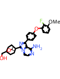 COc1cccc(Oc2ccc(-c3nc(C45CCC(CO)(CC4)OC5)n4ccnc(N)c34)cc2)c1F